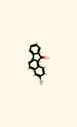 O=C1c2ccccc2-c2ccc3cc(Br)ccc3c21